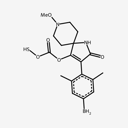 Bc1cc(C)c(C2=C(OC(=O)OS)C3(CCN(OC)CC3)NC2=O)c(C)c1